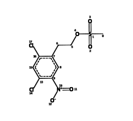 CS(=O)(=O)OCCc1cc([N+](=O)[O-])c(Cl)cc1Cl